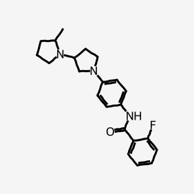 CC1CCCN1C1CCN(c2ccc(NC(=O)c3ccccc3F)cc2)C1